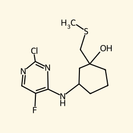 CSCC1(O)CCCC(Nc2nc(Cl)ncc2F)C1